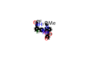 COCCn1cc(C(=O)N2CCC(c3cc(CNC(=O)C(F)(F)F)ccc3F)CC2)c2c(NC(=O)C3CCOCC3)cccc21